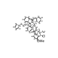 C=CC(CCl)C1(C)/C(=C/C(=C/C2=[N+](Cc3ccccc3)c3ccccc3C2(C)CCCCC2C=CC=C2)c2ccccc2)N(C)c2ccc(OC)cc21